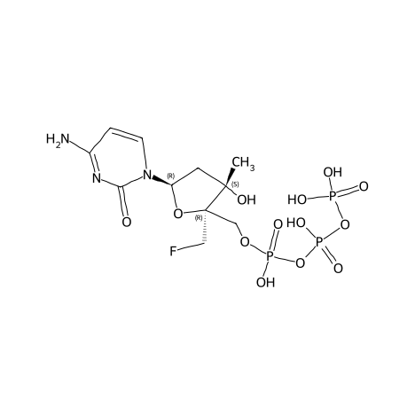 C[C@]1(O)C[C@H](n2ccc(N)nc2=O)O[C@]1(CF)COP(=O)(O)OP(=O)(O)OP(=O)(O)O